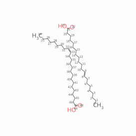 CCCCCCCC/C=C/CCCCCCCCCCCC(=O)O.CCCCCCCC/C=C\CCCCCCCCCCCCCC(=O)O